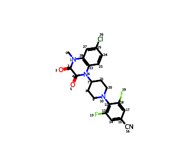 Cn1c(=O)c(=O)n(C2CCN(c3c(F)cc(C#N)cc3F)CC2)c2ccc(Cl)cc21